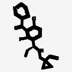 CC[C@@H](NCC1(C=O)CC1)c1ccc(Cl)c(C(=O)c2cccnc2)c1F